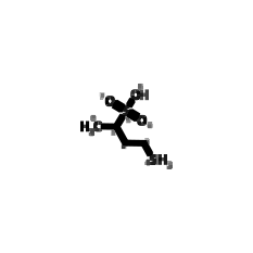 CC(CC[SiH3])S(=O)(=O)O